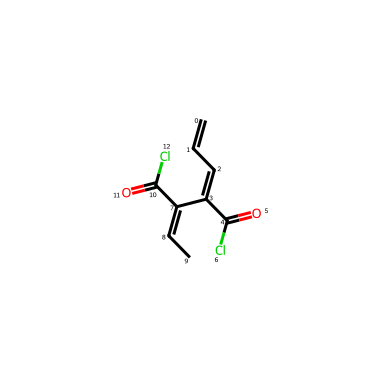 C=C/C=C(C(=O)Cl)\C(=C/C)C(=O)Cl